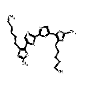 CCCCCCc1nc(C)sc1-c1cnc(-c2ncc(-c3sc(C)nc3CCCCCC)s2)s1